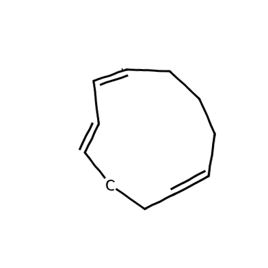 [C]1=C\C=C\CC/C=C\CCC/1